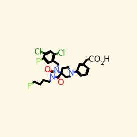 O=C(O)Cc1cccc(N2CCC3(CC2)C(=O)N(CCCCF)C(=O)N3Cc2cc(F)c(Cl)cc2Cl)c1